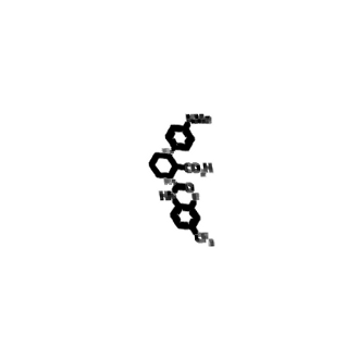 CNc1ccc([C@H]2CCC[C@@H](C(=O)Nc3ccc(C(F)(F)F)cc3F)C2C(=O)O)cc1